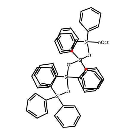 [CH2]CCCCCCC[Si](O[Si](O[Si](O[Si](c1ccccc1)(c1ccccc1)c1ccccc1)(c1ccccc1)c1ccccc1)(c1ccccc1)c1ccccc1)(c1ccccc1)c1ccccc1